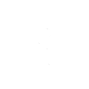 Cc1cc(Cl)ccc1Nc1ccc(N)cn1